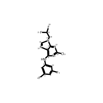 Fc1cc(F)cc(Nc2nc(Cl)nc3c2ncn3CC(F)F)c1